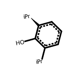 [CH2][C@H](C)c1cccc(C(C)C)c1O